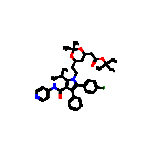 CC(C)c1c(C(=O)Nc2ccncc2)c(-c2ccccc2)c(-c2ccc(F)cc2)n1CC[C@@H]1C[C@H](CC(=O)OC(C)(C)C)OC(C)(C)O1